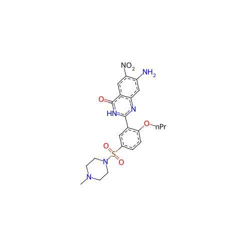 CCCOc1ccc(S(=O)(=O)N2CCN(C)CC2)cc1-c1nc2cc(N)c([N+](=O)[O-])cc2c(=O)[nH]1